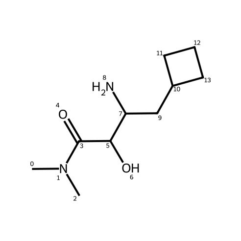 CN(C)C(=O)C(O)C(N)CC1CCC1